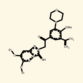 C=C(C)c1cc(C(=O)Cn2nc3cc(OCC)c(OCC)nn3c2=N)cc(N2CCOCC2)c1OC